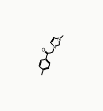 Cc1ccc(C(=O)CN2C=CN(C)C2)cc1